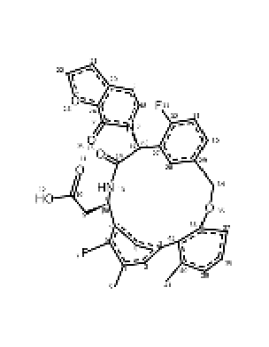 Cc1cc2cc(c1F)[C@@H](CC(=O)O)NC(=O)[C@@H](n1ccc3ccoc3c1=O)c1cc(ccc1F)COc1cccc(C)c1-2